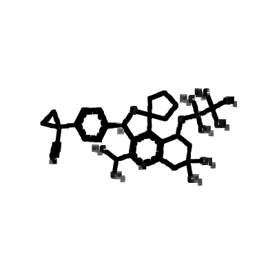 CC(C)c1nc2c(c3c1[C@@H](c1ccc(C4(C#N)CC4)cc1)OC31CCCC1)C(O[Si](C)(C)C(C)(C)C)CC(C)(C)C2